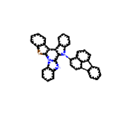 c1ccc2c(c1)-c1cccc3c(-n4c5ccccc5c5c6c7ccccc7sc6n6c7ccccc7nc6c54)ccc-2c13